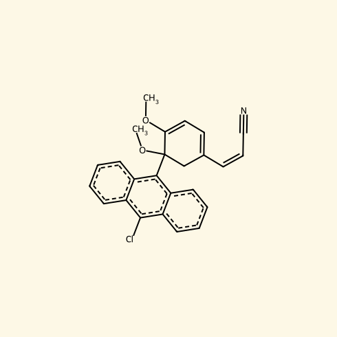 COC1=CC=C(/C=C\C#N)CC1(OC)c1c2ccccc2c(Cl)c2ccccc12